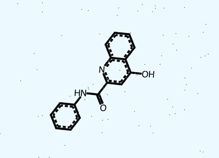 O=C(Nc1ccccc1)c1cc(O)c2ccccc2n1